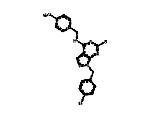 CCc1ccc(Cn2ncc3c(NCc4ccc(OC)cc4)nc(Cl)nc32)cc1